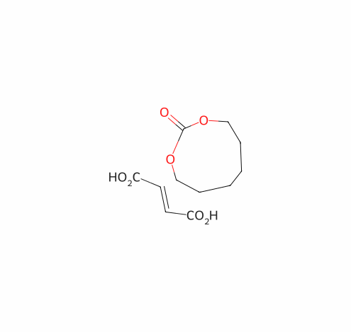 O=C(O)/C=C/C(=O)O.O=C1OCCCCCCO1